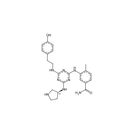 Cc1ccc(C(N)=O)cc1Nc1nc(NCCc2ccc(O)cc2)nc(N[C@H]2CCNC2)n1